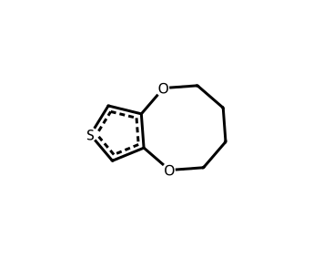 c1scc2c1OCCCCO2